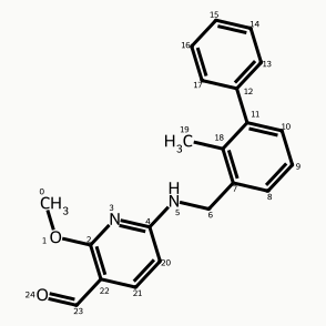 COc1nc(NCc2cccc(-c3ccccc3)c2C)ccc1C=O